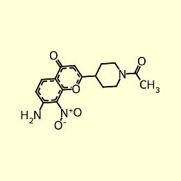 CC(=O)N1CCC(c2cc(=O)c3ccc(N)c([N+](=O)[O-])c3o2)CC1